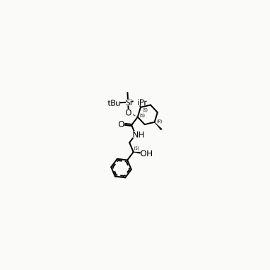 CC(C)[C@@H]1CC[C@@H](C)C[C@@]1(O[Si](C)(C)C(C)(C)C)C(=O)NC[C@@H](O)c1ccccc1